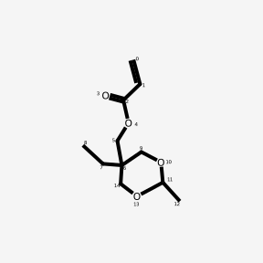 C=CC(=O)OCC1(CC)COC(C)OC1